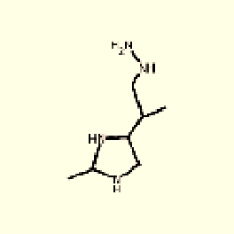 CC1NCC(C(C)CNN)N1